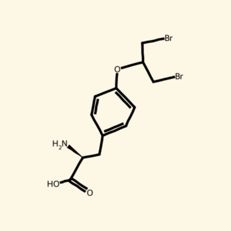 N[C@@H](Cc1ccc(OC(CBr)CBr)cc1)C(=O)O